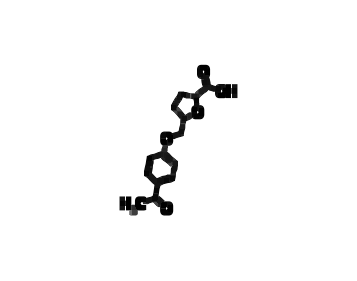 CC(=O)c1ccc(OCC2CCC(C(=O)O)O2)cc1